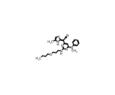 CCCCOCCCNc1nc(C(C#N)=C2NC(C)=CS2)cc(N(C)c2ccccc2)n1